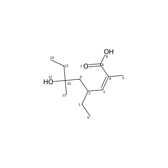 CCC(C=C(C)C(=O)O)CC(C)(O)CC